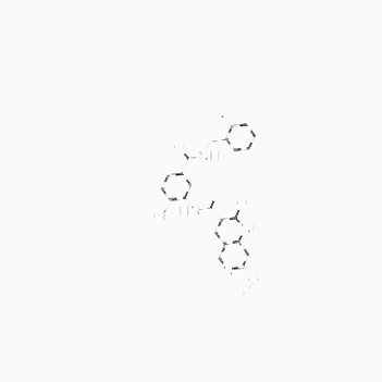 C=C(Nc1cc(C(=O)NCc2ccccc2Cl)ccc1Cl)c1cc2cnc(OC)cc2[nH]c1=O